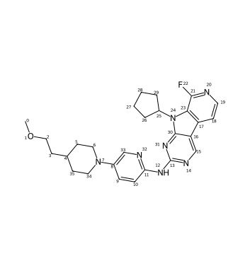 COCCC1CCN(c2ccc(Nc3ncc4c5ccnc(F)c5n(C5CCCC5)c4n3)nc2)CC1